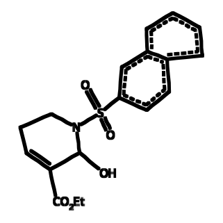 CCOC(=O)C1=CCCN(S(=O)(=O)c2ccc3ccccc3c2)C1O